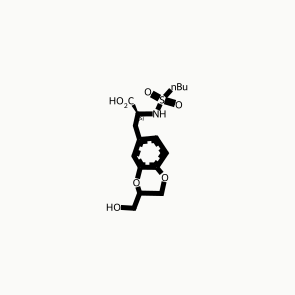 CCCCS(=O)(=O)N[C@@H](Cc1ccc2c(c1)OC(CO)CO2)C(=O)O